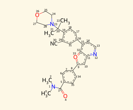 CN(C)C(=O)c1ccc(-c2cc3nccc(-c4ccc(C(C)(C)N5CCOCC5)c(C#N)c4)c3o2)cc1